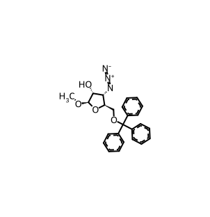 CO[C@@H]1O[C@H](COC(c2ccccc2)(c2ccccc2)c2ccccc2)[C@@H](N=[N+]=[N-])[C@H]1O